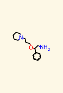 NCC(OCCCN1CCCCC1)c1ccccc1